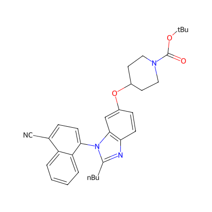 CCCCc1nc2ccc(OC3CCN(C(=O)OC(C)(C)C)CC3)cc2n1-c1ccc(C#N)c2ccccc12